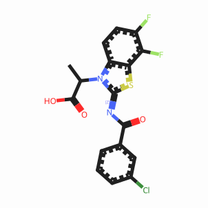 CC(C(=O)O)n1/c(=N/C(=O)c2cccc(Cl)c2)sc2c(F)c(F)ccc21